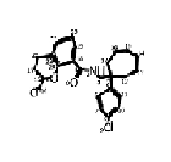 O=C(NCC1(c2ccc(Cl)cc2)CCCCCC1)c1cccc2c1OC(Cl)CC2